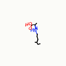 CCC(C)CCCNN=C(C)C(=O)O